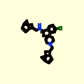 Clc1ccc2c(c1)C1(CCN(CC3CC45CC4C=CC35)CC1)C[C@@H]2NCC1CC23CC2C=CC13